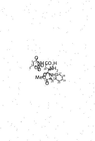 CC1=CC(=O)NS(=O)(=O)O1.COC(=O)[C@H](Cc1ccccc1)NC(=O)[C@@H](N)CC(=O)O